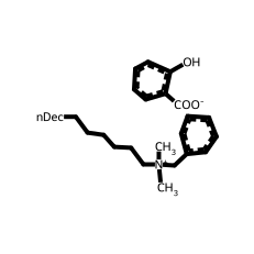 CCCCCCCCCCCCCCCC[N+](C)(C)Cc1ccccc1.O=C([O-])c1ccccc1O